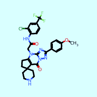 COc1ccc(-c2nc3n(CC(=O)Nc4ccc(C(F)(F)F)cc4Cl)c4c(c(=O)n3n2)C2(CCNCC2)CC4)cc1